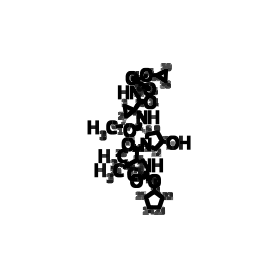 CC[C@@H]1C[C@]1(NC(=O)[C@@H]1C[C@@H](O)CN1C(=O)[C@@H](NC(=O)OC1CCCC1)C(C)(C)C)C(=O)NS(=O)(=O)OC1CC1